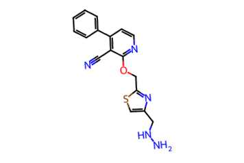 N#Cc1c(-c2ccccc2)ccnc1OCc1nc(CNN)cs1